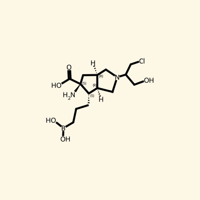 N[C@@]1(C(=O)O)C[C@H]2CN(C(CO)CCl)C[C@H]2[C@@H]1CCCB(O)O